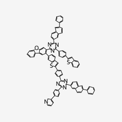 c1ccc(-c2ccc3cc(-c4nc(-c5ccc(-c6cccnc6)cc5)nc(-c5ccc(-c6cc7ccc(-c8cc9c(cc8-c8nc(-c%10ccc(-c%11cc%12ccccc%12s%11)cc%10)nc(-c%10ccc%11cc(-c%12ccccc%12)ccc%11c%10)n8)oc8ccccc89)cc7s6)cc5)n4)ccc3c2)cc1